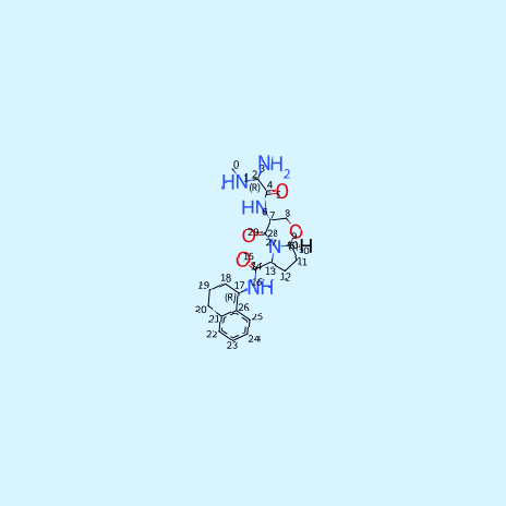 CN[C@@H](N)C(=O)NC1CO[C@H]2CCC(C(=O)N[C@@H]3CCCc4ccccc43)N2C1=O